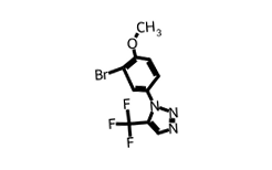 COc1ccc(-n2nncc2C(F)(F)F)cc1Br